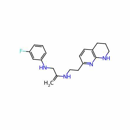 C=C(CNc1cccc(F)c1)NCCc1ccc2c(n1)NCCC2